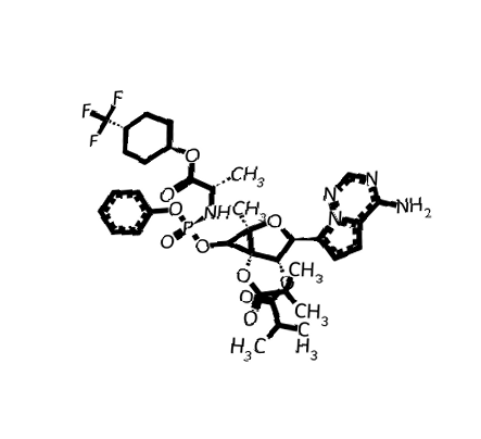 CC(C)C(=O)O[C@H]1[C@H](c2ccc3c(N)ncnn23)O[C@]2(C)C(O[P@@](=O)(N[C@@H](C)C(=O)O[C@H]3CC[C@H](C(F)(F)F)CC3)Oc3ccccc3)[C@]12OC(=O)C(C)C